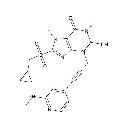 CNc1cc(C#CCN2c3nc(S(=O)(=O)CC4CC4)n(C)c3C(=O)N(C)C2O)ccn1